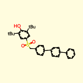 CC(C)(C)c1cc(S(=O)(=O)Cc2ccc(-c3ccc(-c4ccccc4)cc3)cc2)cc(C(C)(C)C)c1O